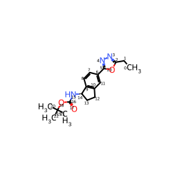 CCc1nnc(-c2ccc3c(c2)CC[C@H]3NC(=O)OC(C)(C)C)o1